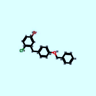 Clc1ccc(Br)cc1Cc1ccc(OCc2ccccc2)cc1